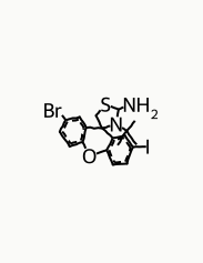 CC(C)(C)N1C(N)SCC12c1cc(Br)ccc1Oc1ccc(I)cc12